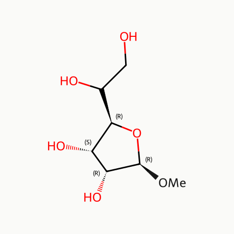 CO[C@@H]1O[C@H](C(O)CO)[C@@H](O)[C@H]1O